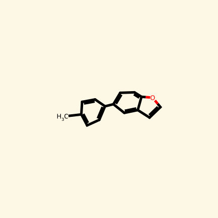 Cc1ccc(-c2ccc3occc3c2)cc1